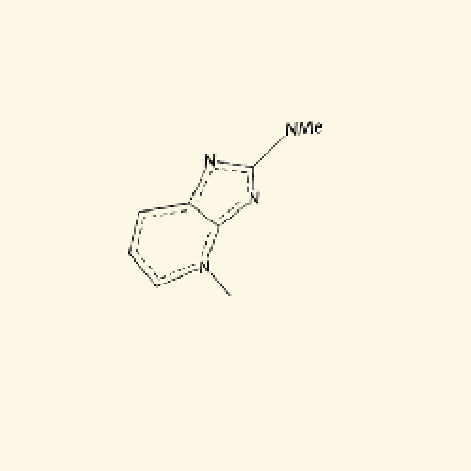 CNc1nc2cccn(C)c-2n1